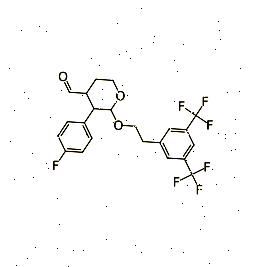 O=CC1CCOC(OCCc2cc(C(F)(F)F)cc(C(F)(F)F)c2)C1c1ccc(F)cc1